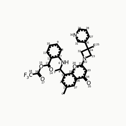 Cc1cc(C(C)Nc2ccccc2C(=O)OC(=O)C(F)(F)F)c2oc(N3CC(F)(c4cccnc4)C3)cc(=O)c2c1